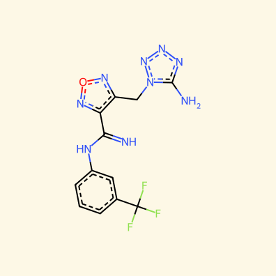 N=C(Nc1cccc(C(F)(F)F)c1)c1nonc1Cn1nnnc1N